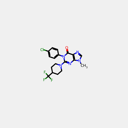 Cn1cnc2c(=O)n(-c3ccc(Cl)cc3)c(N3CCC(C(F)(F)F)CC3)nc21